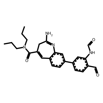 CCCN(CCC)C(=O)C1=Cc2ccc(-c3ccc(C=O)c(NC=O)c3)cc2N=C(N)C1